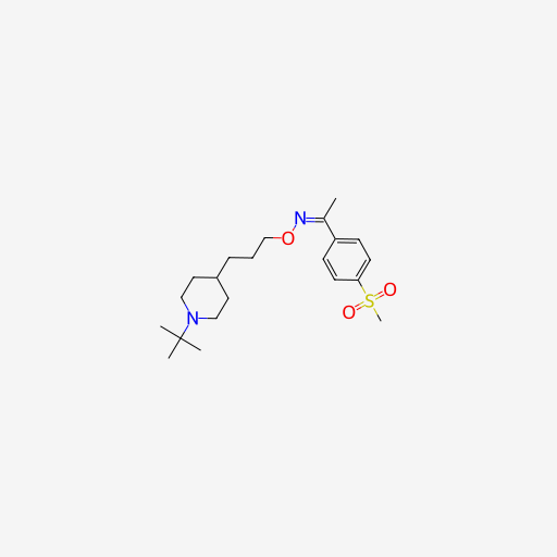 CC(=NOCCCC1CCN(C(C)(C)C)CC1)c1ccc(S(C)(=O)=O)cc1